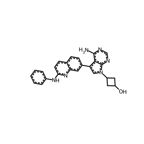 Nc1ncnc2c1c(-c1ccc3ccc(Nc4ccccc4)nc3c1)cn2C1CC(O)C1